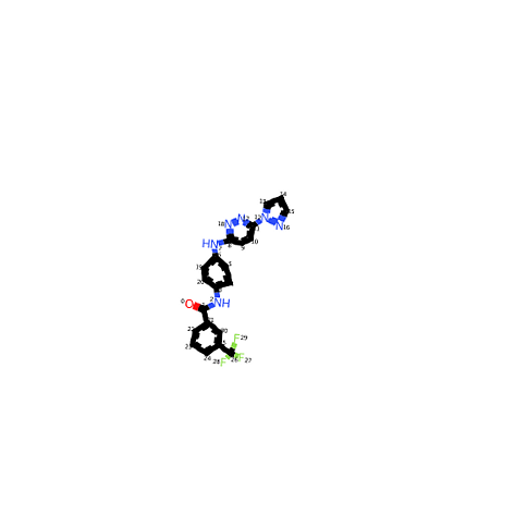 O=C(Nc1ccc(Nc2ccc(-n3cccn3)nn2)cc1)c1cccc(C(F)(F)F)c1